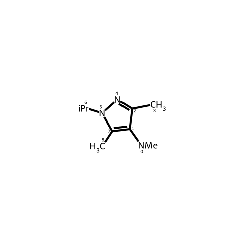 CNc1c(C)nn(C(C)C)c1C